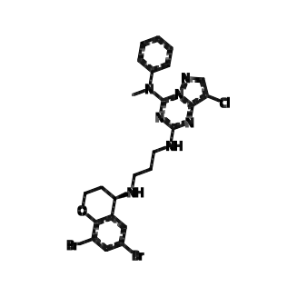 CN(c1ccccc1)c1nc(NCCCN[C@@H]2CCOc3c(Br)cc(Br)cc32)nc2c(Cl)cnn12